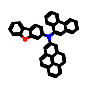 c1ccc2c(c1)cc(N(c1cc3ccc4cccc5ccc(c1)c3c45)c1ccc3c(c1)oc1ccccc13)c1ccccc12